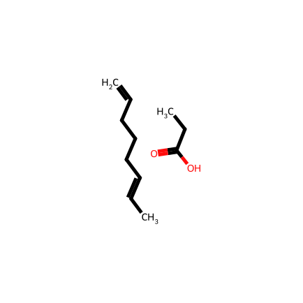 C=CCCCC=CC.CCC(=O)O